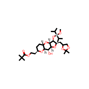 CO[Si](O[C@@H]1[C@@H]2O[C@H]3CC[C@H](CCOC(=O)C(C)(C)C)O[C@@H]3[C@@H](O)[C@@H]2O[C@@H]1CC1COC(C)(C)O1)(C(C)C)C(C)C